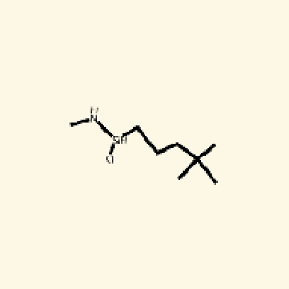 CN[SiH](Cl)CCCC(C)(C)C